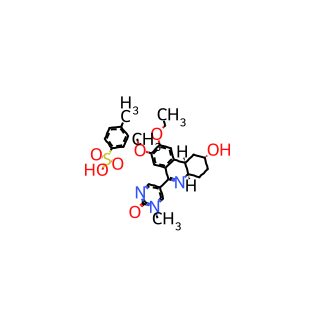 CCOc1cc2c(cc1OC)C(c1cnc(=O)n(C)c1)=N[C@@H]1CC[C@@H](O)C[C@H]21.Cc1ccc(S(=O)(=O)O)cc1